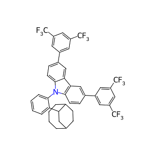 FC(F)(F)c1cc(-c2ccc3c(c2)c2cc(-c4cc(C(F)(F)F)cc(C(F)(F)F)c4)ccc2n3-c2ccccc2C2CC3CCCCC2CC3)cc(C(F)(F)F)c1